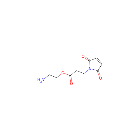 NCCOC(=O)CCN1C(=O)C=CC1=O